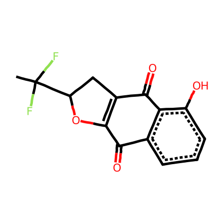 CC(F)(F)C1CC2=C(O1)C(=O)c1cccc(O)c1C2=O